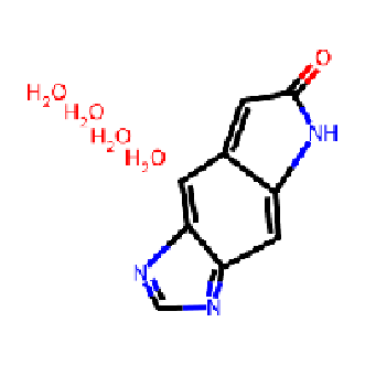 O.O.O.O.O=C1C=c2cc3c(cc2N1)=NC=N3